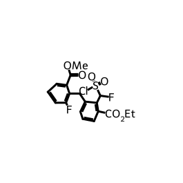 CCOC(=O)c1cccc(Cc2c(F)cccc2C(=O)OC)c1C(F)S(=O)(=O)Cl